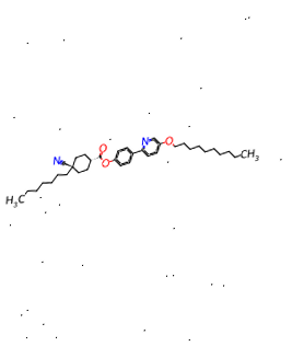 CCCCCCCCCCOc1ccc(-c2ccc(OC(=O)[C@H]3CC[C@@](C#N)(CCCCCCC)CC3)cc2)nc1